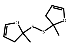 CC1(SSC2(C)CC=CO2)CC=CO1